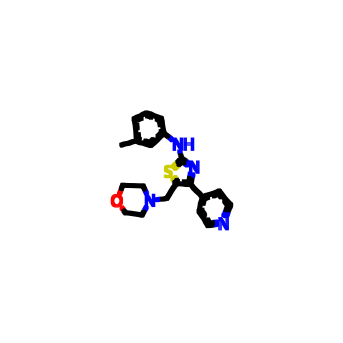 Cc1cccc(Nc2nc(-c3ccncc3)c(CN3CCOCC3)s2)c1